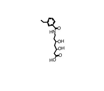 CCc1cccc(C(=O)NCC[C@@H](O)C[C@@H](O)CC(=O)O)c1